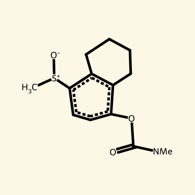 CNC(=O)Oc1ccc([S+](C)[O-])c2c1CCCC2